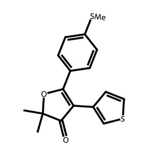 CSc1ccc(C2=C(c3ccsc3)C(=O)C(C)(C)O2)cc1